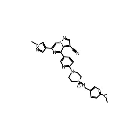 COc1ccc(CN=S2(=O)CCN(c3ccc(-c4nc(-c5cnn(C)c5)cn5ncc(C#N)c45)cn3)CC2)cn1